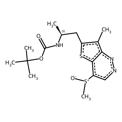 Cc1c(C[C@H](C)NC(=O)OC(C)(C)C)sc2c([S+](C)[O-])cnnc12